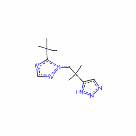 CC(C)(C)c1ncnn1CC(C)(C)c1cnn[nH]1